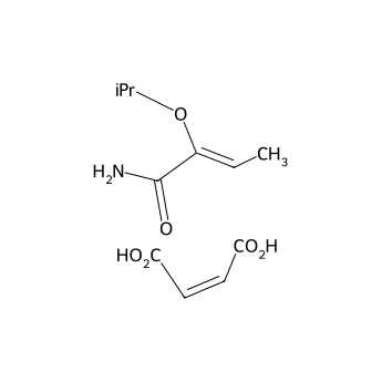 C/C=C(\OC(C)C)C(N)=O.O=C(O)/C=C\C(=O)O